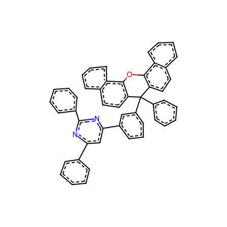 c1ccc(-c2cc(-c3cccc(C4(c5ccccc5)c5ccc6ccccc6c5Oc5c4ccc4ccccc54)c3)nc(-c3ccccc3)n2)cc1